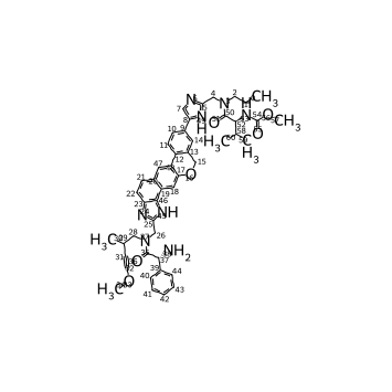 CCCN(Cc1ncc(-c2ccc3c(c2)COc2cc4c(ccc5nc(CN(CC(C)C#COC)C(=O)[C@H](N)c6ccccc6)[nH]c54)cc2-3)[nH]1)C(=O)[C@@H](NC(=O)OC)C(C)C